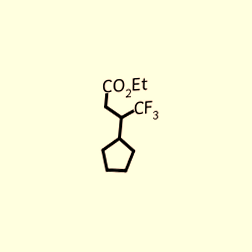 CCOC(=O)CC(C1CCCC1)C(F)(F)F